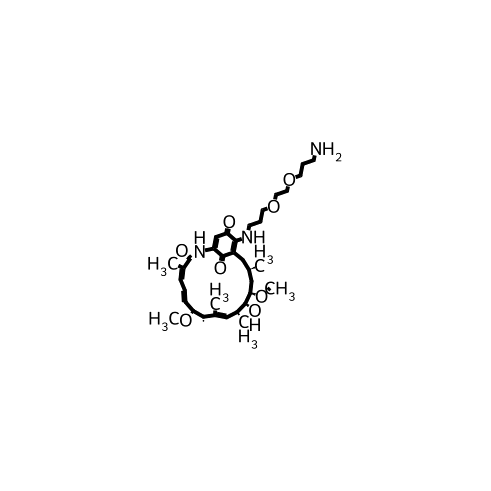 CO[C@@H]1[CH]/C(C)=C/[C@@H](C)[C@H](O)[C@H](OC)C[C@@H](C)CC2=C(NCCCOCCOCCCN)C(=O)C=C(NC(=O)/C(C)=C\C=C\1)C2=O